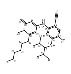 C#Cc1cc(F)c(NC(C(C)C)C(C)C)nc1NC(/C=C(\CC)CCCCCC)=C/C=C